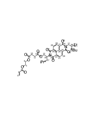 C=CC(=O)OCCOC(=O)CCC(=O)OCC(CC(C)C)N1C(=O)c2ccc3c4c(ccc(c24)C1=O)C(=O)N(CC(CC)CCCC)C3=O